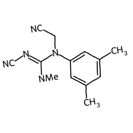 CN/C(=N\C#N)N(CC#N)c1cc(C)cc(C)c1